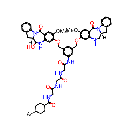 COc1cc2c(cc1OCc1cc(COc3cc4c(cc3OC)C(=O)N3c5ccccc5C[C@H]3C(O)N4)cc(NC(=O)CNC(=O)CNC(=O)CNC(=O)C3CCC(C(C)=O)CC3)c1)NC[C@@H]1Cc3ccccc3N1C2=O